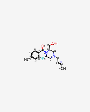 N#C/C=C/CN1CCN(C(=O)c2ccc(C#N)cc2F)C(CO)C1